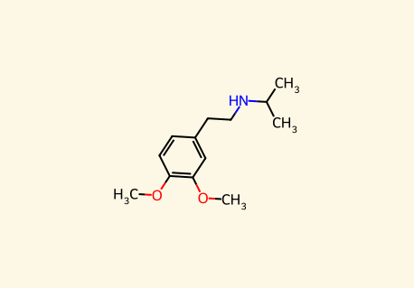 COc1ccc(CCNC(C)C)cc1OC